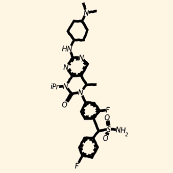 CC(C)N1C(=O)N(c2ccc(C(c3ccc(F)cc3)S(N)(=O)=O)c(F)c2)C(C)c2cnc(NC3CCC(N(C)C)CC3)nc21